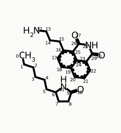 CCCCCCC1CCC(=O)N1.NCCCc1ccc2cccc3c2c1C(=O)NC3=O